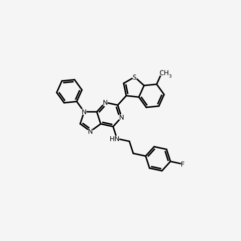 CC1C=CC=C2C(c3nc(NCCc4ccc(F)cc4)c4ncn(-c5ccccc5)c4n3)=CSC21